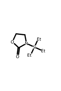 CC[Si](CC)(CC)N1CCOC1=O